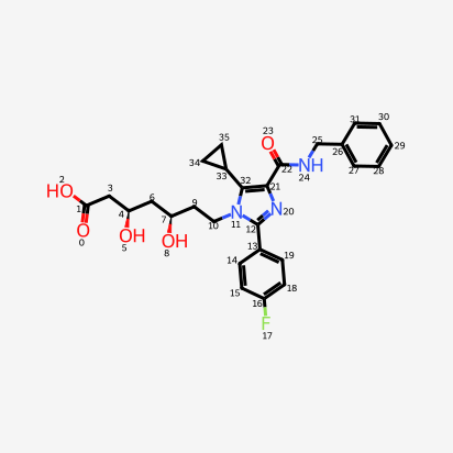 O=C(O)C[C@H](O)C[C@H](O)CCn1c(-c2ccc(F)cc2)nc(C(=O)NCc2ccccc2)c1C1CC1